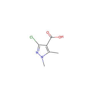 Cc1c(C(=O)O)c(Cl)nn1C